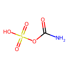 NC(=O)OS(=O)(=O)O